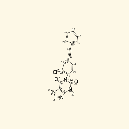 Cn1cnc2c1c(=O)n(-c1ccc(C#Cc3ccccc3)cc1Cl)c(=O)n2C